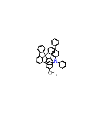 Cc1cc(-c2cccc3c2C2(c4ccccc4-c4ccccc42)c2ccccc2-3)cc(N(c2ccccc2)c2ccc(-c3ccccc3)cc2)c1